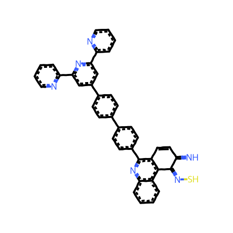 N=C1C=Cc2c(-c3ccc(-c4ccc(-c5cc(-c6ccccn6)nc(-c6ccccn6)c5)cc4)cc3)nc3ccccc3c2/C1=N/S